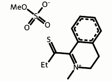 CCC(=S)C1=[N+](C)CCc2ccccc21.COS(=O)(=O)[O-]